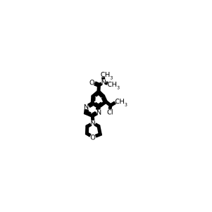 CC(Cl)c1cc(C(=O)N(C)C)cc2ncc(N3CCOCC3)nc12